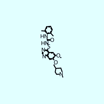 COc1cc2c(SNC(=O)Nc3c(C)cccc3C)ncnc2cc1OCC1CCN(C)CC1